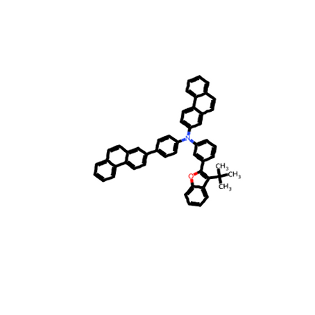 CC(C)(C)c1c(-c2cccc(N(c3ccc(-c4ccc5c(ccc6ccccc65)c4)cc3)c3ccc4c(ccc5ccccc54)c3)c2)oc2ccccc12